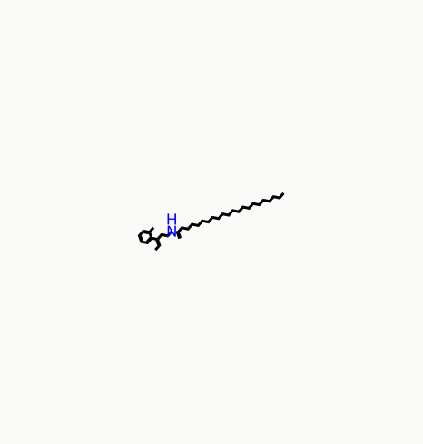 C=C(CCCCCCCCCCCCCCCCCCCCC)NCC/C(=C/C)c1ccccc1C